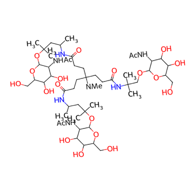 CNC(CCC(=O)NC(C)CC(C)(C)OC1OC(CO)C(O)C(O)C1NC(C)=O)(CCC(=O)NC(C)CC(C)(C)OC1OC(CO)C(O)C(O)C1NC(C)=O)CCC(=O)NC(C)(C)COC1OC(CO)C(O)C(O)C1NC(C)=O